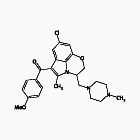 COc1ccc(C(=O)c2c(C)n3c4c(cc(Cl)cc24)OCC3CN2CCN(C)CC2)cc1